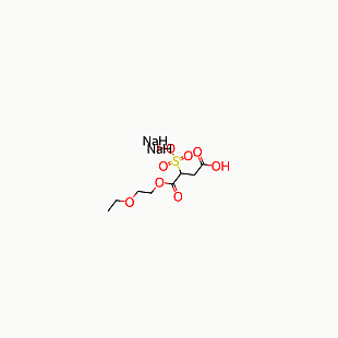 CCOCCOC(=O)C(CC(=O)O)S(=O)(=O)O.[NaH].[NaH]